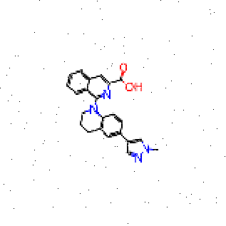 Cn1cc(-c2ccc3c(c2)CCCN3c2nc(C(=O)O)cc3ccccc23)cn1